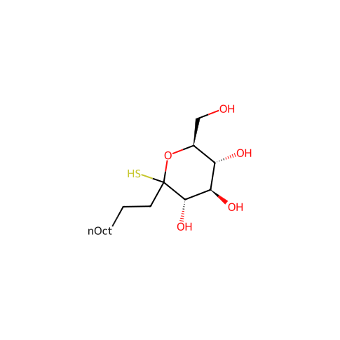 CCCCCCCCCCC1(S)O[C@@H](CO)[C@H](O)[C@@H](O)[C@@H]1O